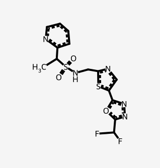 CC(c1ccccn1)S(=O)(=O)NCc1ncc(-c2nnc(C(F)F)o2)s1